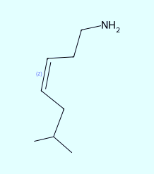 CC(C)C/C=C\CCN